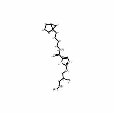 CC(C)NCC(O)COc1ncc(C(=O)NCCCCC23CCCC2C3)s1